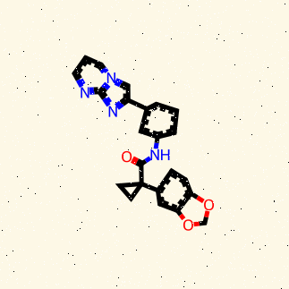 O=C(Nc1cccc(-c2cn3cccnc3n2)c1)C1(c2ccc3c(c2)OCO3)CC1